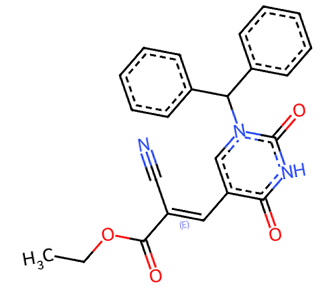 CCOC(=O)/C(C#N)=C/c1cn(C(c2ccccc2)c2ccccc2)c(=O)[nH]c1=O